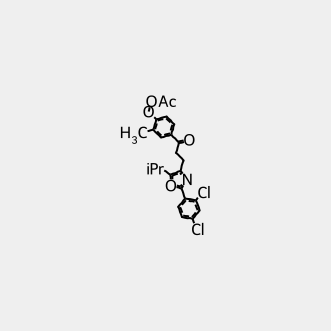 CC(=O)OOc1ccc(C(=O)CCc2nc(-c3ccc(Cl)cc3Cl)oc2C(C)C)cc1C